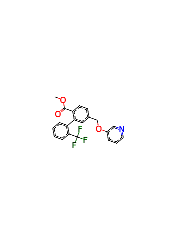 COC(=O)c1ccc(COc2cccnc2)cc1-c1ccccc1C(F)(F)F